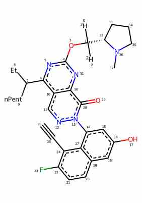 [2H]C([2H])(Oc1nc(C(CC)CCCCC)c2cnn(-c3cc(O)cc4ccc(F)c(C#C)c34)c(=O)c2n1)[C@@H]1CCCN1C